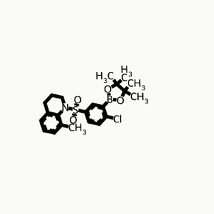 Cc1cccc2c1N(S(=O)(=O)c1ccc(Cl)c(B3OC(C)(C)C(C)(C)O3)c1)CCC2